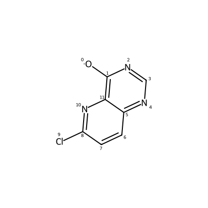 [O]c1ncnc2ccc(Cl)nc12